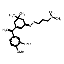 C=C(C1=C/C(=N/OCCCN(C)C)CC(C)(C)C1)c1ccc(OC)c(OC)c1